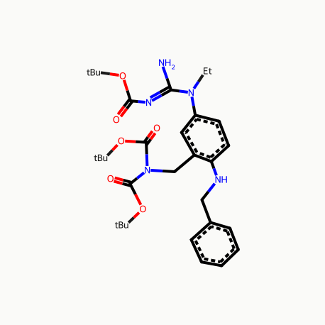 CCN(C(N)=NC(=O)OC(C)(C)C)c1ccc(NCc2ccccc2)c(CN(C(=O)OC(C)(C)C)C(=O)OC(C)(C)C)c1